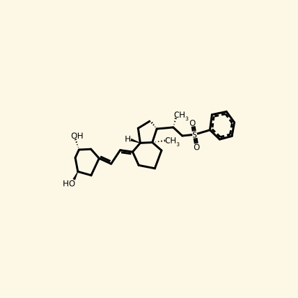 C[C@H](CS(=O)(=O)c1ccccc1)[C@H]1CC[C@H]2/C(=C/C=C3C[C@@H](O)C[C@H](O)C3)CCC[C@]12C